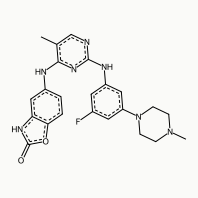 Cc1cnc(Nc2cc(F)cc(N3CCN(C)CC3)c2)nc1Nc1ccc2oc(=O)[nH]c2c1